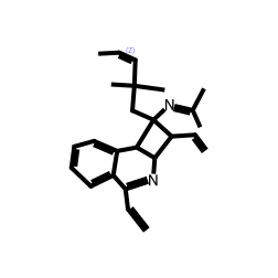 C=CC1=NC2C(C=C)C(CC(C)(C)/C=C\C)(N=C(C)C)C2c2ccccc21